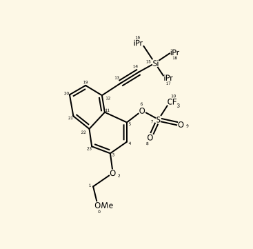 COCOc1cc(OS(=O)(=O)C(F)(F)F)c2c(C#C[Si](C(C)C)(C(C)C)C(C)C)cccc2c1